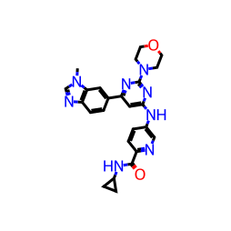 Cn1cnc2ccc(-c3cc(Nc4ccc(C(=O)NC5CC5)nc4)nc(N4CCOCC4)n3)cc21